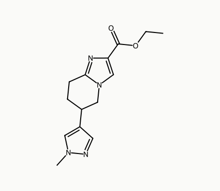 CCOC(=O)c1cn2c(n1)CCC(c1cnn(C)c1)C2